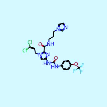 O=C(Nc1ccc(OC(F)(F)F)cc1)Nc1cn(CC=C(Cl)Cl)c(C(=O)NCCCn2ccnc2)n1